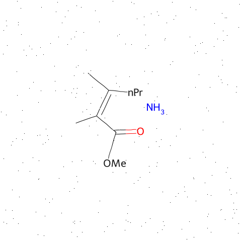 CCCC(C)=C(C)C(=O)OC.N